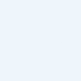 CC1C(=O)N2C(CC(C)(C(=O)O)C2c2ccc(F)cc2)C(=O)N1C